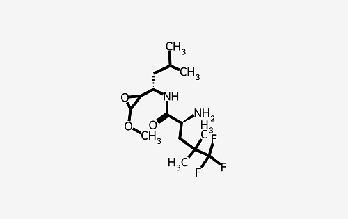 COC1OC1[C@H](CC(C)C)NC(=O)[C@@H](N)CC(C)(C)C(F)(F)F